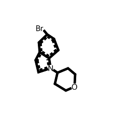 Brc1ccc2c(ccn2C2CCOCC2)c1